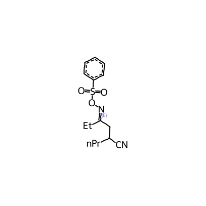 CCCC(C#N)C/C(CC)=N/OS(=O)(=O)c1ccccc1